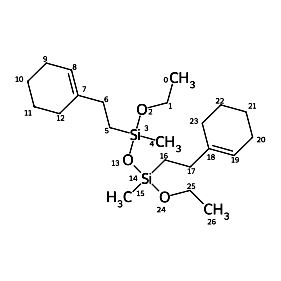 CCO[Si](C)(CCC1=CCCCC1)O[Si](C)(CCC1=CCCCC1)OCC